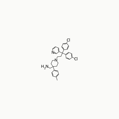 Cc1ccc(C2(CN)CCN(CCC(c3ccc(Cl)cc3)(c3ccc(Cl)cc3)c3cccnc3)CC2)cc1